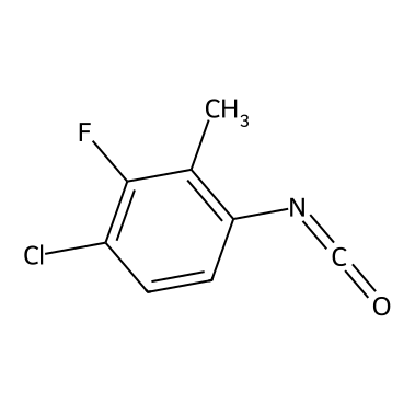 Cc1c(N=C=O)ccc(Cl)c1F